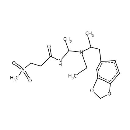 CCN(C(C)Cc1ccc2c(c1)OCO2)C(C)NC(=O)CCS(C)(=O)=O